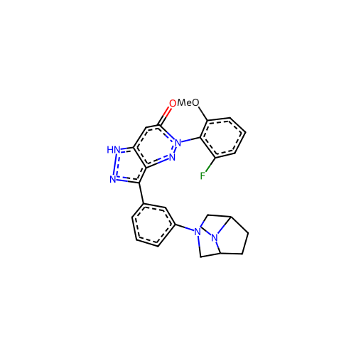 COc1cccc(F)c1-n1nc2c(-c3cccc(N4CC5CCC(C4)N5C)c3)n[nH]c2cc1=O